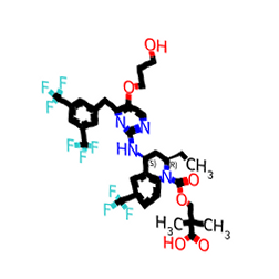 CC[C@@H]1C[C@H](Nc2ncc(OCCCO)c(Cc3cc(C(F)(F)F)cc(C(F)(F)F)c3)n2)c2cc(C(F)(F)F)ccc2N1C(=O)OCC(C)(C)C(=O)O